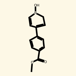 COC(=O)c1ccc(C2=CCN(O)C=C2)cc1